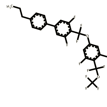 CCCc1ccc(-c2cc(F)c(C(F)(F)Oc3cc(F)c(C(F)(F)OC(F)(F)F)c(F)c3)c(F)c2)cc1